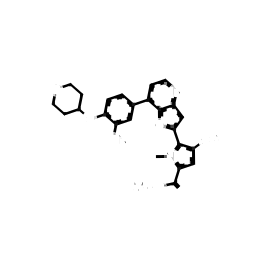 COC(=O)c1cc(OC(C)=O)c(-c2cc3nccc(-c4ccc(OC5CCOCC5)c(C#N)c4)c3o2)n1C